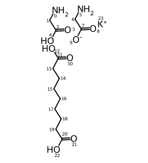 NCC(=O)O.NCC(=O)[O-].O=C(O)CCCCCCCC(=O)O.[K+]